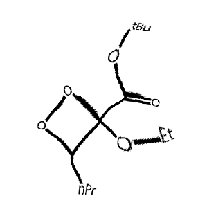 CCCC1OOC1(OCC)C(=O)OC(C)(C)C